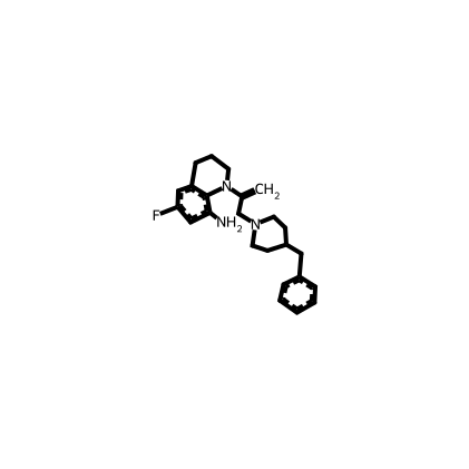 C=C(CN1CCC(Cc2ccccc2)CC1)N1CCCc2cc(F)cc(N)c21